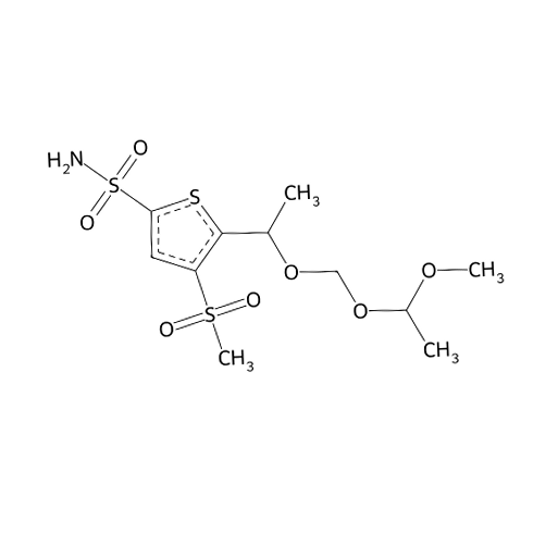 COC(C)OCOC(C)c1sc(S(N)(=O)=O)cc1S(C)(=O)=O